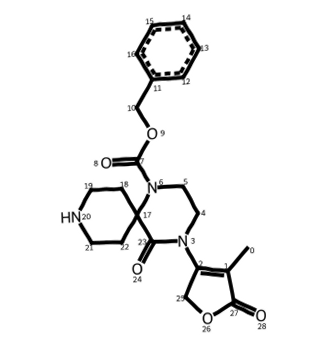 CC1=C(N2CCN(C(=O)OCc3ccccc3)C3(CCNCC3)C2=O)COC1=O